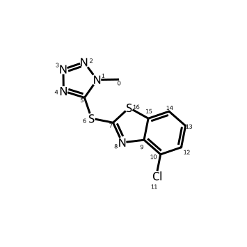 Cn1nnnc1Sc1nc2c(Cl)cccc2s1